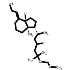 COCOC(C)(C)CC(F)CC(C)[C@H]1CC[C@H]2/C(=C/CO)CCC[C@]12C